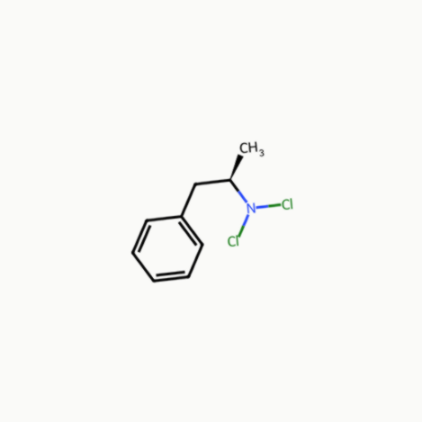 C[C@H](Cc1ccccc1)N(Cl)Cl